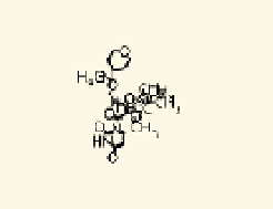 COC1C(O[Si](C)(C)C(C)(C)C)[C@@H](CON(C)C2CCOCC2)O[C@H]1n1ccc(=O)[nH]c1=O